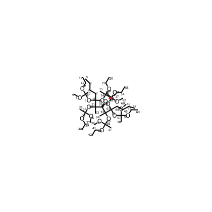 CCCCC(OC(C)(OC)OCC)(OC(C)(OC)OCC)C(C)(OC(C)(OC)OCC)C(=O)C(C)(OC(C)(OC)OCC)C(CCCC)(OC(C)(OC)OCC)OC(C)(OC)OCC